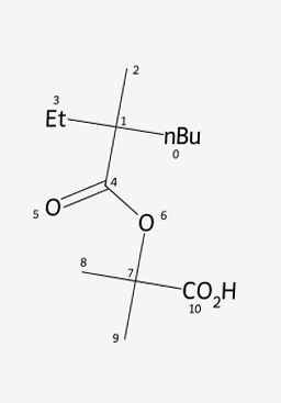 CCCCC(C)(CC)C(=O)OC(C)(C)C(=O)O